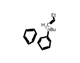 C=CCC.CCCCc1ccccc1.c1ccccc1